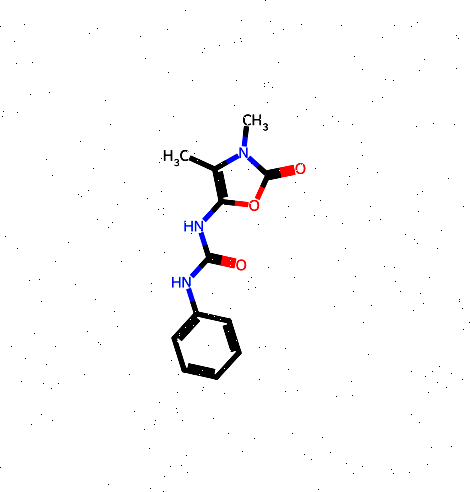 Cc1c(NC(=O)Nc2ccccc2)oc(=O)n1C